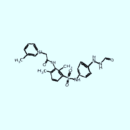 Cc1ccc[n+](CC(=O)Nc2c(C)ccc(S(=O)(=O)Nc3ccc(NNC=O)cc3)c2C)c1